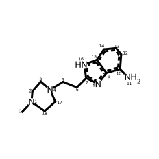 CN1CCN(CCc2nc3c(N)cccc3[nH]2)CC1